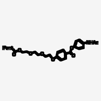 CCCC(C)C(=O)OCCOCCOCCOc1ccc(C(=O)Oc2ccc(NC(C)=O)cc2)cc1